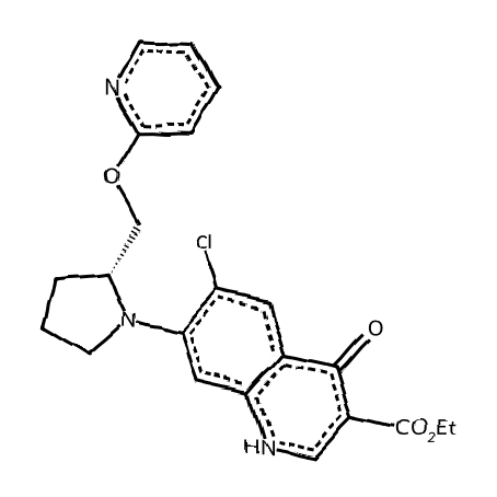 CCOC(=O)c1c[nH]c2cc(N3CCC[C@@H]3COc3ccccn3)c(Cl)cc2c1=O